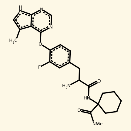 CNC(=O)C1(NC(=O)C(N)Cc2ccc(Oc3ncnc4[nH]cc(C)c34)c(F)c2)CCCCC1